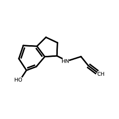 C#CCNC1CCc2ccc(O)cc21